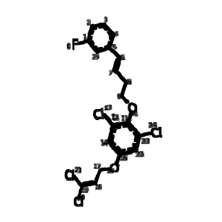 Fc1cccc(/C=C/CCOc2c(Cl)cc(OCC=C(Cl)Cl)cc2Cl)c1